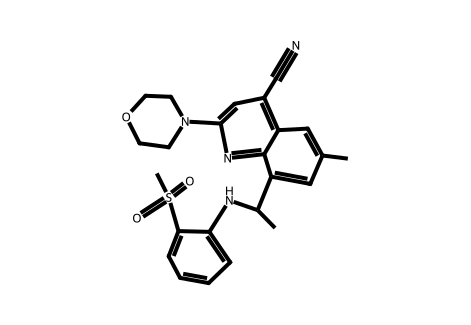 Cc1cc(C(C)Nc2ccccc2S(C)(=O)=O)c2nc(N3CCOCC3)cc(C#N)c2c1